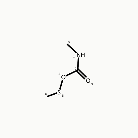 CNC(=O)OSC